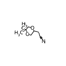 CC1(C)COC(CC#N)CO1